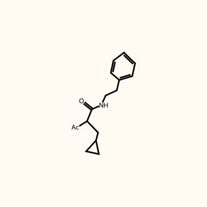 CC(=O)C(CC1CC1)C(=O)NCCc1ccccc1